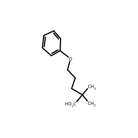 CC(C)(CCCOc1ccccc1)C(=O)O